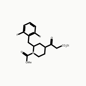 CCOC(=O)CC(=O)C1CCN(C(=O)OC)C(Cc2c(F)cccc2F)C1